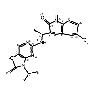 CC(C)n1c(=O)oc2cnc(N[C@@H](C)c3cc4cc(Cl)ccc4[nH]c3=O)nc21